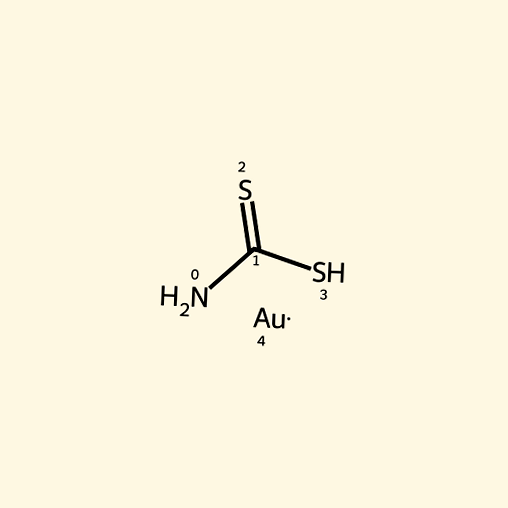 NC(=S)S.[Au]